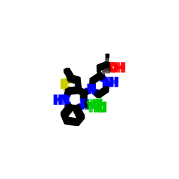 Cc1cc2c(s1)Nc1ccccc1N=C2N1CCN[C@@H](C[C@H](C)O)C1.Cl.Cl